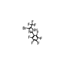 Fc1c(F)c(F)c(-c2nc(Br)c(C(F)(F)F)[nH]2)c(F)c1F